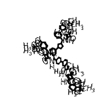 CCC(C)(Nc1c(Nc2ccc(Cl)c(C(=O)N(C)C)c2O)c(=O)c1=O)c1cccc(C2CCC([C@@H](Nc3c(Nc4ccc(Cl)c(S(=O)(=O)N(C)C)c4O)c(=O)c3=O)c3cccc(C4CCC([C@@H](Nc5c(Nc6ccc(Cl)c(S(=O)(=O)N(C)C)c6O)c(=O)c5=O)c5ccccc5)C4)c3)CC2)c1